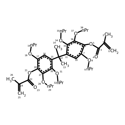 C=C(C)C(=O)Oc1c(OCCC)cc(C(C)(C)c2cc(OCCC)c(OC(=O)C(=C)C)c(OCCC)c2OCCC)c(OCCC)c1OCCC